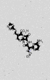 CCO/N=C(/C(=O)NC1C(=O)N2C(C(=O)O)=C(CSc3nncs3)CS[C@H]12)c1nccc(N)n1